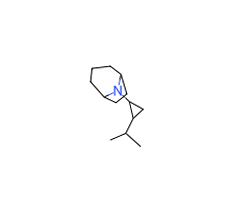 CC(C)C1CC1N1C2CCCC1CC2